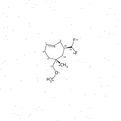 COC[C@]1(C)CC/C=C/C[C@@H](C(F)F)C1